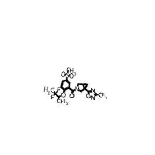 CC(Oc1ccc(S(C)(=O)=O)cc1C(=O)N1CC2CC2(c2nc(C(F)(F)F)no2)C1)C(C)(F)F